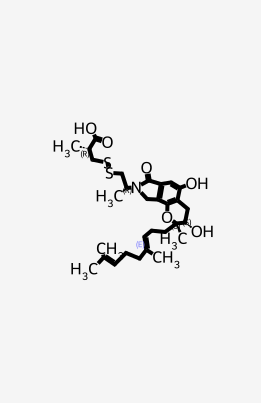 CC(C)=CCC/C(C)=C/CC[C@]1(C)Oc2c(c(O)cc3c2CN([C@H](C)CSSC[C@H](C)C(=O)O)C3=O)C[C@@H]1O